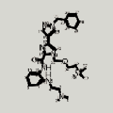 CN(C)CCNc1ccccc1NC(=O)c1nc(-c2cnn(Cc3ccccc3)c2)cn1COCC[Si](C)(C)C